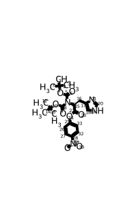 CC(C)(C)OC(=O)N(C(=O)OC(C)(C)C)[C@@H](Cc1c[nH]cn1)C(=O)Oc1ccc([N+](=O)[O-])cc1